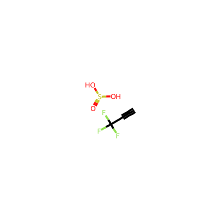 C#CC(F)(F)F.O=S(O)O